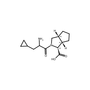 NC(CC1CC1)C(=O)N1C[C@@H]2CCC[C@@H]2[C@H]1C(=O)O